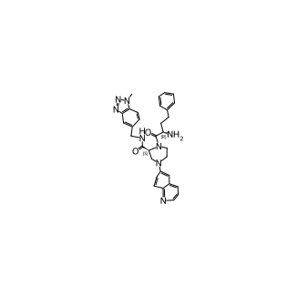 Cn1nnc2cc(CNC(=O)[C@@H]3CN(c4ccc5ncccc5c4)CCN3C(=O)[C@H](N)CCc3ccccc3)ccc21